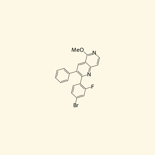 COc1nccc2nc(-c3ccc(Br)cc3F)c(-c3ccccc3)cc12